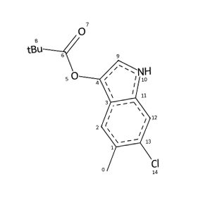 Cc1cc2c(OC(=O)C(C)(C)C)c[nH]c2cc1Cl